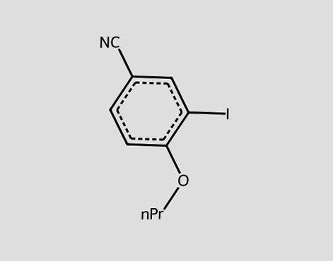 CCCOc1ccc(C#N)cc1I